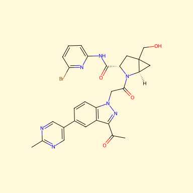 CC(=O)c1nn(CC(=O)N2[C@H](C(=O)Nc3cccc(Br)n3)CC3(CO)C[C@@H]23)c2ccc(-c3cnc(C)nc3)cc12